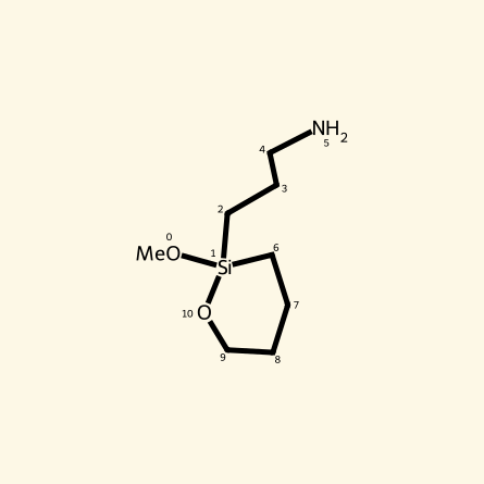 CO[Si]1(CCCN)CCCCO1